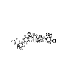 CN(C)Cc1cc(-c2ccc(C(=O)N3CCN(S(=O)(=O)/C=C/c4ccc(Cl)cc4O)CC3)cc2)ccn1